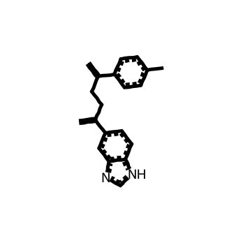 C=C(CCC(=C)c1ccc2[nH]cnc2c1)c1ccc(C)cc1